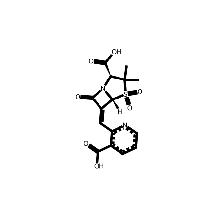 CC1(C)[C@H](C(=O)O)N2C(=O)/C(=C/c3ncccc3C(=O)O)[C@H]2S1(=O)=O